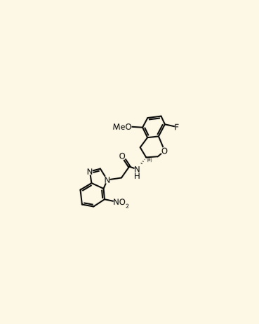 COc1ccc(F)c2c1C[C@@H](NC(=O)Cn1cnc3cccc([N+](=O)[O-])c31)CO2